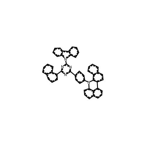 c1ccc2c(-c3nc(-c4ccc(N5c6c(ccc7ccccc67)-c6cccc7cccc5c67)cc4)nc(-n4c5ccccc5c5ccccc54)n3)cccc2c1